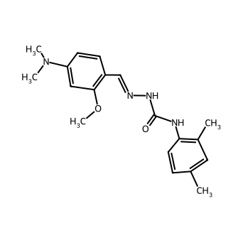 COc1cc(N(C)C)ccc1C=NNC(=O)Nc1ccc(C)cc1C